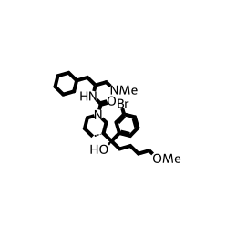 CNCC(CC1CCCCC1)NC(=O)N1CCC[C@@H]([C@@](O)(CCCCOC)c2cccc(Br)c2)C1